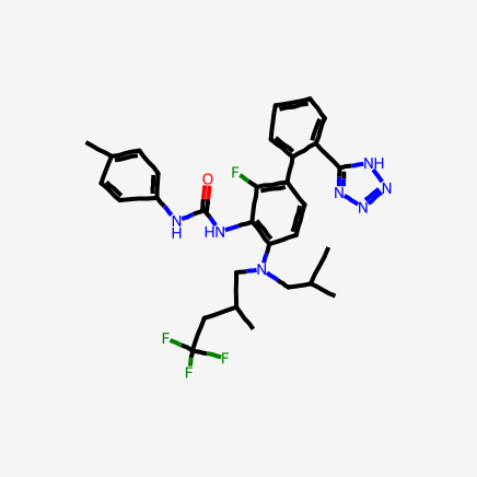 Cc1ccc(NC(=O)Nc2c(N(CC(C)C)CC(C)CC(F)(F)F)ccc(-c3ccccc3-c3nnn[nH]3)c2F)cc1